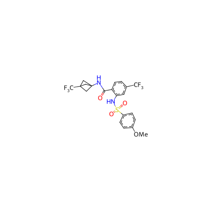 COc1ccc(S(=O)(=O)Nc2cc(C(F)(F)F)ccc2C(=O)NC23CC(C(F)(F)F)(C2)C3)cc1